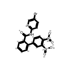 O=C(Nc1ccc(Br)cn1)c1ccccc1-c1ccc([N+](=O)[O-])c([N+](=O)[O-])c1